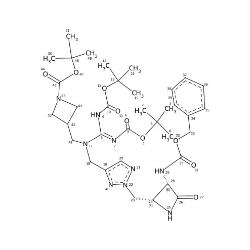 CC(C)(C)OC(=O)N=C(NC(=O)OC(C)(C)C)N(Cc1cnn(C[C@H]2NC(=O)[C@H]2NC(=O)OCc2ccccc2)n1)CC1CN(C(=O)OC(C)(C)C)C1